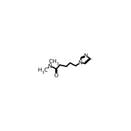 CN(C)C(=O)CCCCn1c[c]nc1